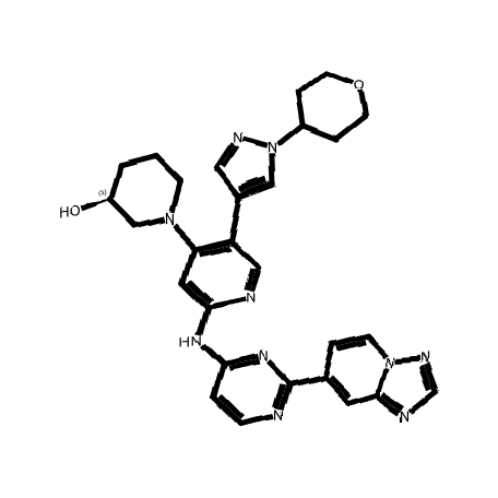 O[C@H]1CCCN(c2cc(Nc3ccnc(-c4ccn5ncnc5c4)n3)ncc2-c2cnn(C3CCOCC3)c2)C1